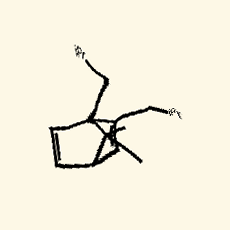 CC(C)CC1=CC2C=CC1(CC(C)C)C2(C)C